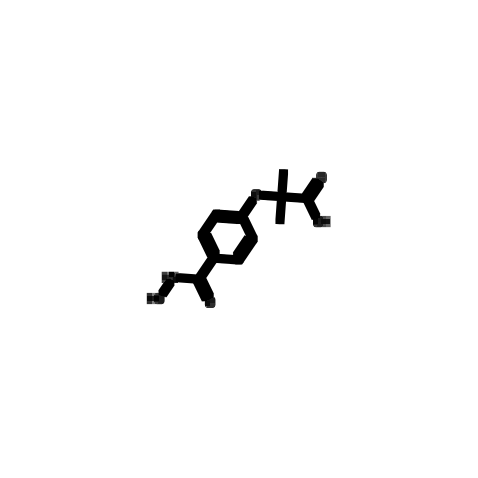 CC(C)(Oc1ccc(C(=O)NO)cc1)C(=O)O